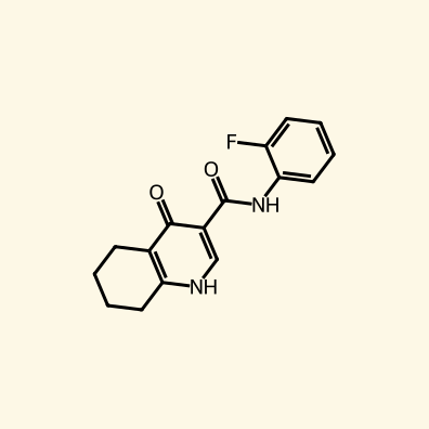 O=C(Nc1ccccc1F)c1c[nH]c2c(c1=O)CCCC2